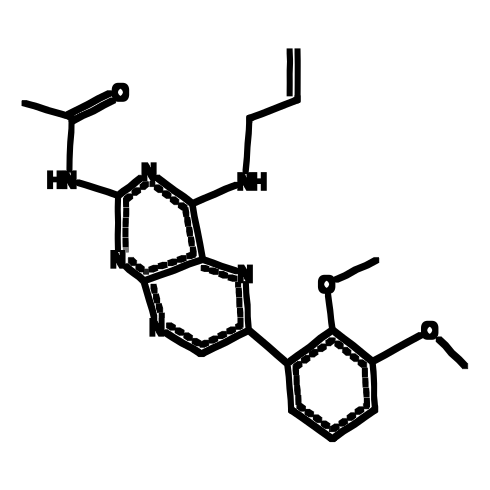 C=CCNc1nc(NC(C)=O)nc2ncc(-c3cccc(OC)c3OC)nc12